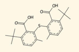 Cc1ccc(C(C)(C)C)c(C(=O)O)c1Sc1c(C)ccc(C(C)(C)C)c1C(=O)O